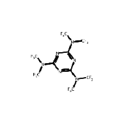 FC(F)(F)N(c1nc(N(C(F)(F)F)C(F)(F)F)nc(N(C(F)(F)F)C(F)(F)F)n1)C(F)(F)F